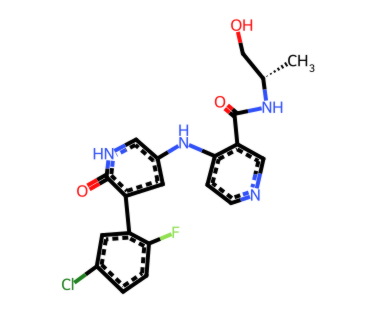 C[C@@H](CO)NC(=O)c1cnccc1Nc1c[nH]c(=O)c(-c2cc(Cl)ccc2F)c1